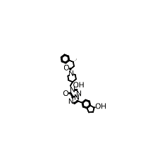 C[C@H](CC(=O)N1CCC(O)(Cn2cnn3c(-c4ccc5c(c4)CCC5O)cnc3c2=O)CC1)c1ccccc1